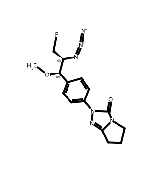 CO[C@H](c1ccc(-n2nc3n(c2=O)CCC3)cc1)[C@@H](CF)N=[N+]=[N-]